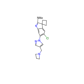 CNC1=Nc2cc(-n3cc(CN4CCC4)cn3)c(Cl)cc2C12CCC2